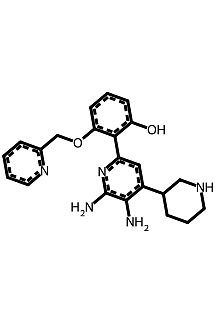 Nc1nc(-c2c(O)cccc2OCc2ccccn2)cc(C2CCCNC2)c1N